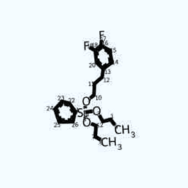 CCCO[Si](OCCC)(OCCCc1ccc(F)c(F)c1)c1ccccc1